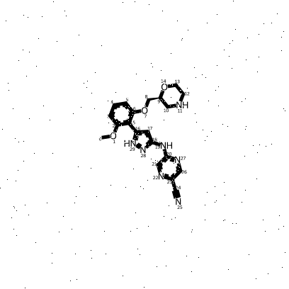 COc1cccc(OC[C@@H]2CNCCO2)c1-c1cc(Nc2cnc(C#N)cn2)n[nH]1